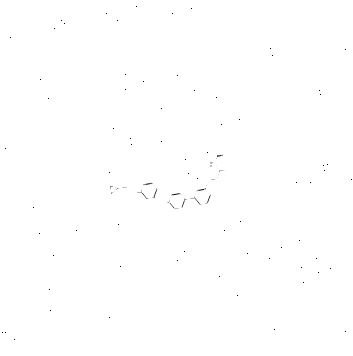 CC(=O)NC(C)COc1cccc(-c2ccc(Oc3cccc(OCC4CC4)c3)cc2)c1